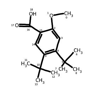 COc1cc(C(C)(C)C)c(C(C)(C)C)cc1C(=O)O